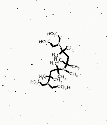 CN(C(C)(C)CC(C)(C)N(CC(=O)O)CC(=O)O)C(C)(C)CC(C)(C)N(CC(=O)O)CC(=O)O